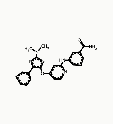 CN(C)c1nc(-c2ccccc2)c(Oc2ccnc(Nc3cccc(C(N)=O)c3)c2)s1